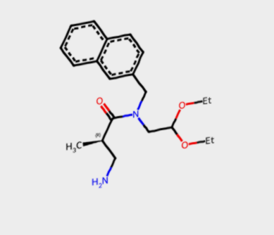 CCOC(CN(Cc1ccc2ccccc2c1)C(=O)[C@H](C)CN)OCC